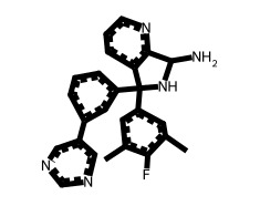 Cc1cc(C2(c3cccc(-c4cncnc4)c3)NC(N)c3ncccc32)cc(C)c1F